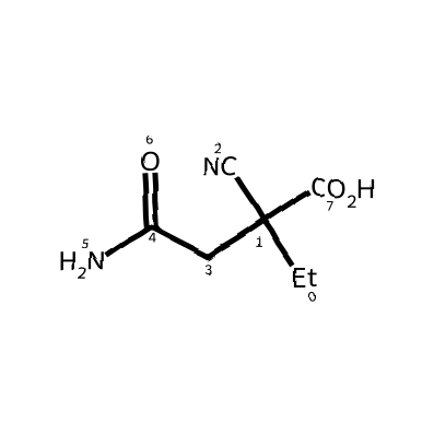 CCC(C#N)(CC(N)=O)C(=O)O